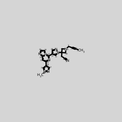 CC#CCN1CC(CC#N)(n2cc(-c3nc(-c4cnn(C)c4)cc4nccn34)cn2)C1